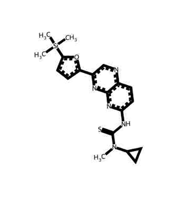 CN(C(=S)Nc1ccc2ncc(-c3ccc([Si](C)(C)C)o3)nc2n1)C1CC1